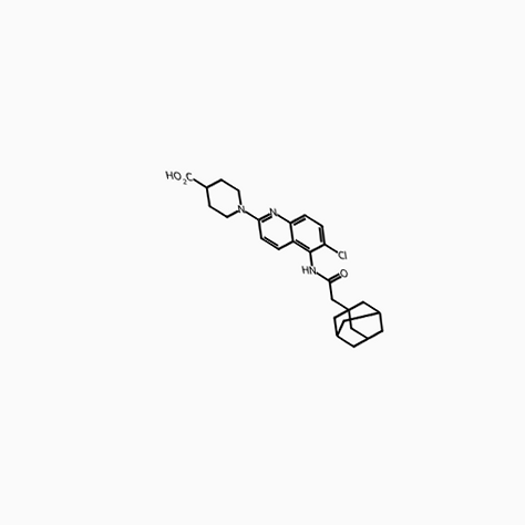 O=C(CC12CC3CC(CC(C3)C1)C2)Nc1c(Cl)ccc2nc(N3CCC(C(=O)O)CC3)ccc12